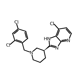 Clc1ccc(CN2CCC[C@H](c3nc4nccc(Cl)c4[nH]3)C2)c(Cl)c1